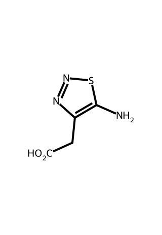 Nc1snnc1CC(=O)O